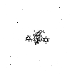 CC1(C)O[C@H]2O[C@@](COCc3ccccc3)([C@@H](O)C(F)(F)F)[C@@H](OCc3ccccc3)[C@H]2O1